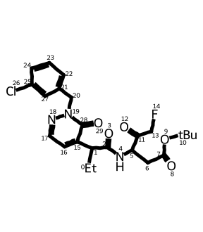 CCC(C(=O)NC(CC(=O)OC(C)(C)C)C(=O)CF)c1ccnn(Cc2cccc(Cl)c2)c1=O